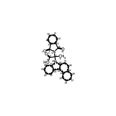 CC(C(=O)O)(N1C(=O)c2ccccc2C1=O)n1c2ccccc2c2c3ccccc3ccc21